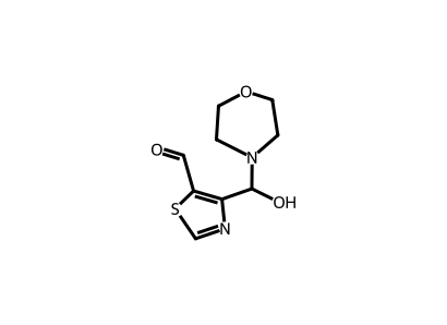 O=Cc1scnc1C(O)N1CCOCC1